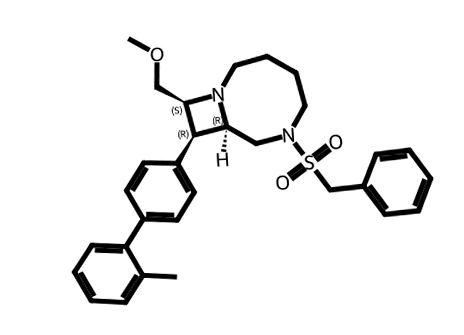 COC[C@@H]1[C@H](c2ccc(-c3ccccc3C)cc2)[C@@H]2CN(S(=O)(=O)Cc3ccccc3)CCCCN12